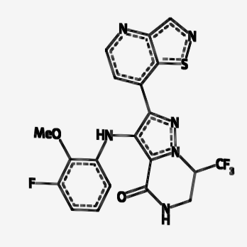 COc1c(F)cccc1Nc1c(-c2ccnc3cnsc23)nn2c1C(=O)NCC2C(F)(F)F